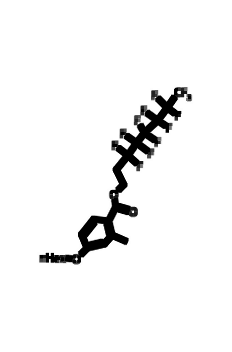 CCCCCCOc1ccc(C(=O)OCCC(F)(F)C(F)(F)C(F)(F)C(F)(F)C(F)(F)C(F)(F)F)c(C)c1